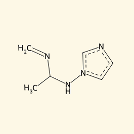 C=NC(C)Nn1ccnc1